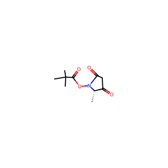 C[C@H]1C(=O)CC(=O)N1OC(=O)C(C)(C)C